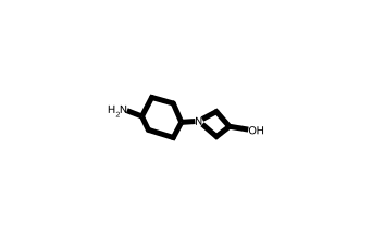 NC1CCC(N2CC(O)C2)CC1